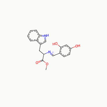 COC(=O)C(Cc1c[nH]c2ccccc12)/N=C/c1ccc(O)cc1O